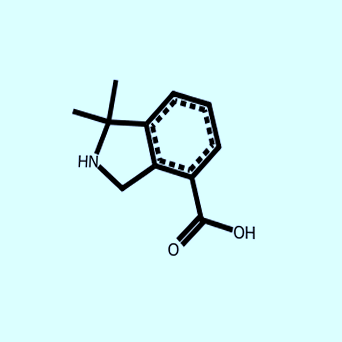 CC1(C)NCc2c(C(=O)O)cccc21